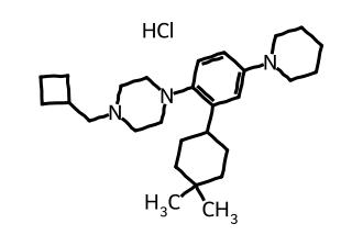 CC1(C)CCC(c2cc(N3CCCCC3)ccc2N2CCN(CC3CCC3)CC2)CC1.Cl